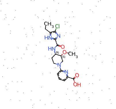 CCc1[nH]c(C(=O)N[C@@H]2CCN(c3cccc(C(=O)O)n3)C[C@@H]2OC)nc1Cl